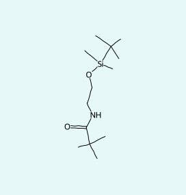 CC(C)(C)C(=O)NCCO[Si](C)(C)C(C)(C)C